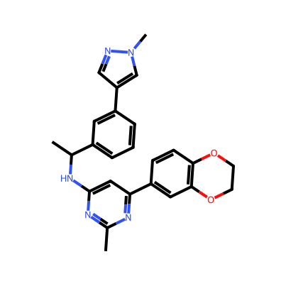 Cc1nc(NC(C)c2cccc(-c3cnn(C)c3)c2)cc(-c2ccc3c(c2)OCCO3)n1